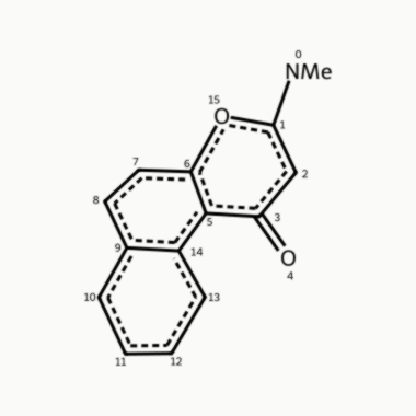 CNc1cc(=O)c2c(ccc3ccccc32)o1